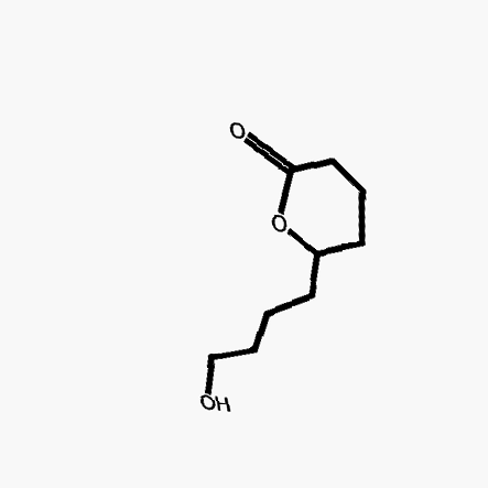 O=C1CCCC(CCCCO)O1